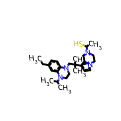 CCc1ccc2c(c1)N(C(C)C)CCN2CC(C)(C)c1ccn2c1CN(C(C)S)CC2